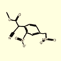 COC(=O)C(C#N)c1ccc(C[SH](=O)=O)cc1[N+](=O)[O-]